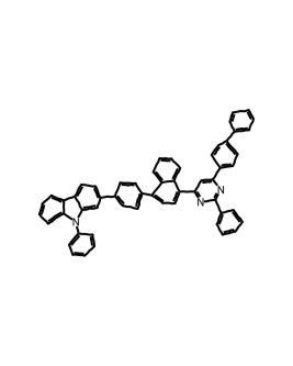 c1ccc(-c2ccc(-c3cc(-c4ccc(-c5ccc(-c6ccc7c8ccccc8n(-c8ccccc8)c7c6)cc5)c5ccccc45)nc(-c4ccccc4)n3)cc2)cc1